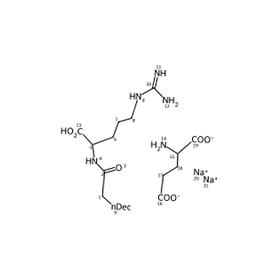 CCCCCCCCCCCC(=O)NC(CCCNC(=N)N)C(=O)O.NC(CCC(=O)[O-])C(=O)[O-].[Na+].[Na+]